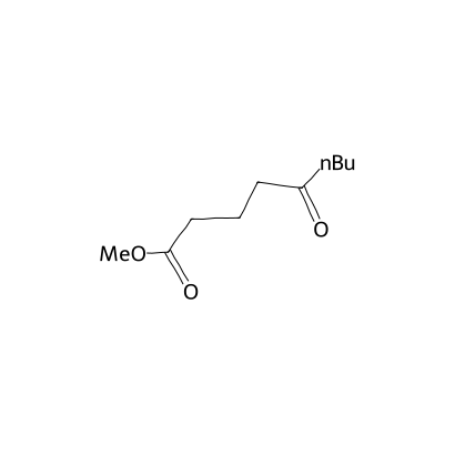 CCCCC(=O)CCCC(=O)OC